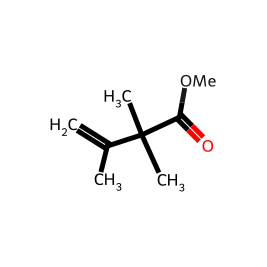 C=C(C)C(C)(C)C(=O)OC